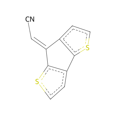 N#CC=C1c2ccsc2-c2ccsc21